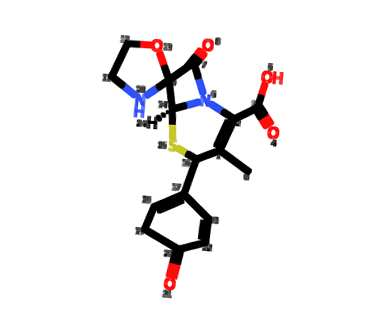 CC1=C(C(=O)O)N2C(=O)C3(NCCO3)[C@@H]2SC1C1=CCC(=O)C=C1